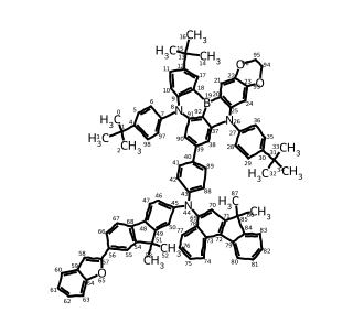 CC(C)(C)c1ccc(N2c3ccc(C(C)(C)C)cc3B3c4cc5c(cc4N(c4ccc(C(C)(C)C)cc4)c4cc(-c6ccc(N(c7ccc8c(c7)C(C)(C)c7cc(-c9cc%10ccccc%10o9)ccc7-8)c7cc8c(c9ccccc79)-c7ccccc7C8(C)C)cc6)cc2c43)OCCO5)cc1